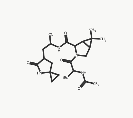 CC(C)(C)C(NC(=O)C(F)(F)F)C(=O)N1CC2C(C1C(=O)NC(C#N)CC1CC3(CC3)NC1=O)C2(C)C